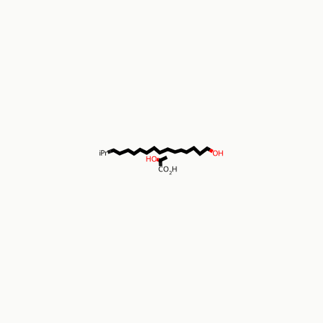 CC(C)CCCCCCCCCCCCCCCO.CC(O)C(=O)O